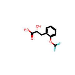 O=C(O)[C@H](O)Cc1ccccc1OC(F)F